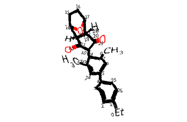 CCc1ccc(-c2cc(C)c(C3C(=O)[C@@H]4C5CCC(O5)[C@@H]4C3=O)c(C)c2)cc1